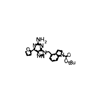 CC(C)(C)OC(=O)n1ccc2c(Cn3nnc4c(-c5ccco5)nc(N)nc43)cccc21